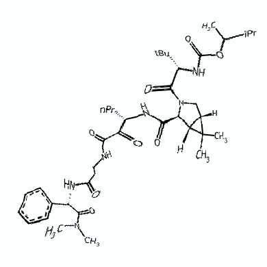 CCC[C@H](NC(=O)[C@@H]1[C@@H]2[C@H](CN1C(=O)[C@@H](NC(=O)OC(C)C(C)C)C(C)(C)C)C2(C)C)C(=O)C(=O)NCC(=O)N[C@H](C(=O)N(C)C)c1ccccc1